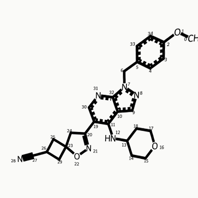 COc1ccc(Cn2ncc3c(NC4CCOCC4)c(C4=NOC5(C4)CC(C#N)C5)cnc32)cc1